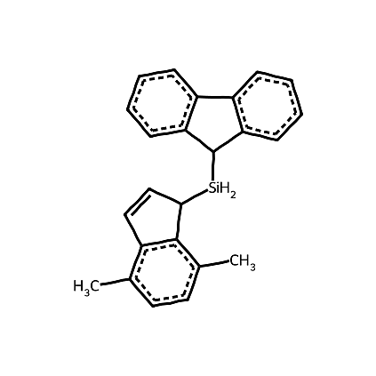 Cc1ccc(C)c2c1C=CC2[SiH2]C1c2ccccc2-c2ccccc21